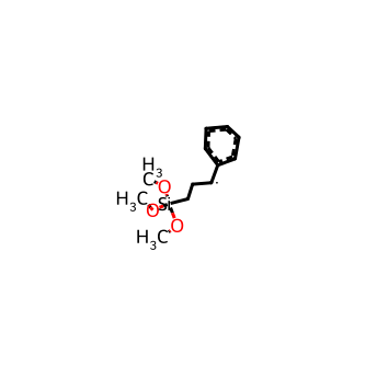 CO[Si](CC[CH]c1ccccc1)(OC)OC